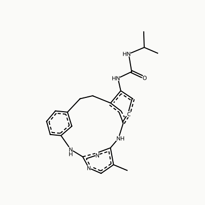 Cc1cnc2nc1Nc1ccc(NC(=O)NC(C)C)c(c1)CCc1cccc(c1)N2